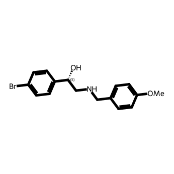 COc1ccc(CNC[C@@H](O)c2ccc(Br)cc2)cc1